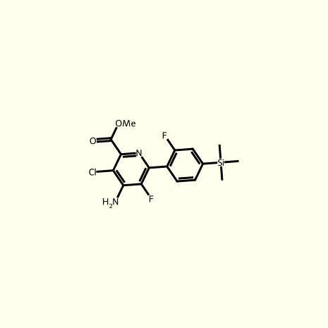 COC(=O)c1nc(-c2ccc([Si](C)(C)C)cc2F)c(F)c(N)c1Cl